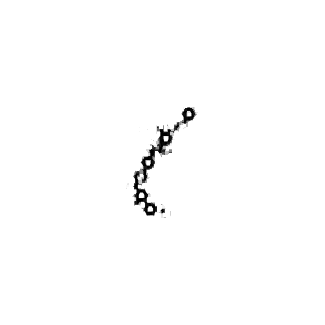 CCOc1cccc(-c2ccc(C(=O)N3CCN(c4ccc(C(=O)NS(=O)(=O)c5ccc(NCCSc6ccccc6)c([N+](=O)[O-])c5)cc4)CC3)cc2F)c1